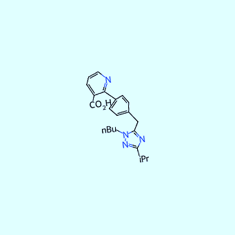 CCCCn1nc(C(C)C)nc1Cc1ccc(-c2ncccc2C(=O)O)cc1